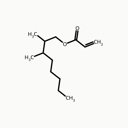 C=CC(=O)OCC(C)C(C)CCCCC